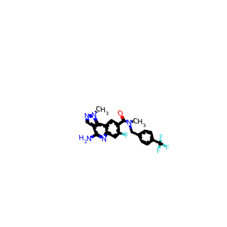 CN(Cc1ccc(C(F)(F)F)cc1)C(=O)c1cc2c(cc1F)nc(N)c1cnn(C)c12